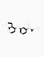 CC(=O)Nc1cccc(Nc2ccnc3[nH]ccc23)c1